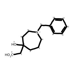 O=C(O)CC1(O)CCCN(Cc2ccccc2)CC1